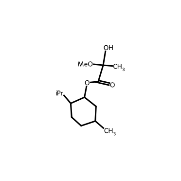 COC(C)(O)C(=O)OC1CC(C)CCC1C(C)C